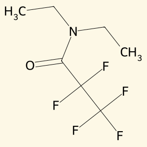 CCN(CC)C(=O)C(F)(F)C(F)(F)F